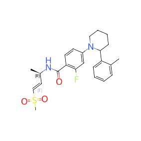 Cc1ccccc1C1CCCCN1c1ccc(C(=O)N[C@H](C)/C=C/S(C)(=O)=O)c(F)c1